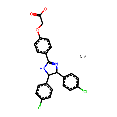 O=C([O-])COc1ccc(C2=NC(c3ccc(Cl)cc3)C(c3ccc(Cl)cc3)N2)cc1.[Na+]